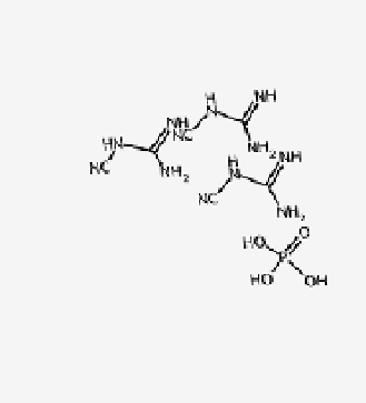 N#CNC(=N)N.N#CNC(=N)N.N#CNC(=N)N.O=P(O)(O)O